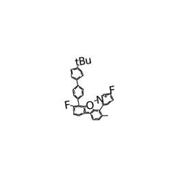 Cc1ccc2c(oc3c(-c4ccc(-c5ccc(C(C)(C)C)cc5)cc4)c(F)ccc32)c1-c1ccc(F)c[n+]1C